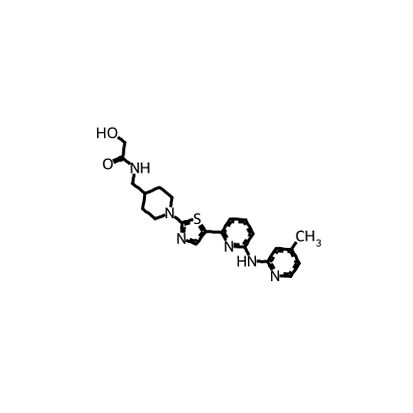 Cc1ccnc(Nc2cccc(-c3cnc(N4CCC(CNC(=O)CO)CC4)s3)n2)c1